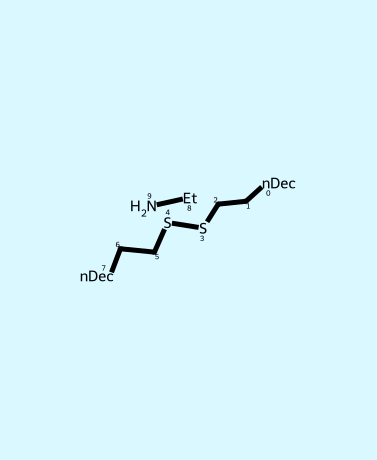 CCCCCCCCCCCCSSCCCCCCCCCCCC.CCN